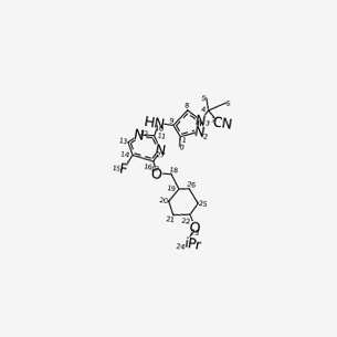 Cc1nn(C(C)(C)C#N)cc1Nc1ncc(F)c(OCC2CCC(OC(C)C)CC2)n1